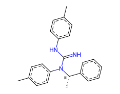 Cc1ccc(NC(=N)N(c2ccc(C)cc2)[C@@H](C)c2ccccc2)cc1